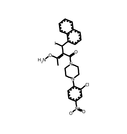 C/C(ON)=C(\C(=O)N1CCN(c2ccc([N+](=O)[O-])cc2Cl)CC1)C(I)c1cccc2ccccc12